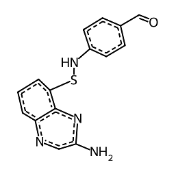 Nc1cnc2cccc(SNc3ccc(C=O)cc3)c2n1